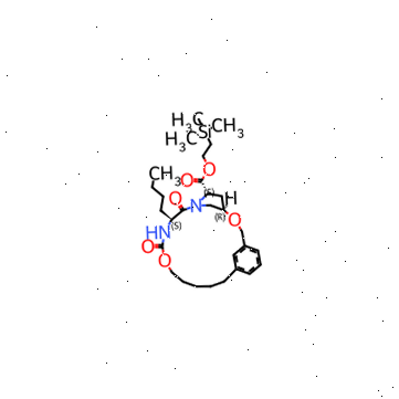 CCCC[C@@H]1NC(=O)OCCCCCc2cccc(c2)CO[C@@H]2C[C@@H](C(=O)OCC[Si](C)(C)C)N(C2)C1=O